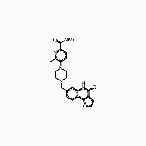 CNC(=O)c1ccc(N2CCN(Cc3ccc4c(c3)[nH]c(=O)c3ccoc34)CC2)c(C)n1